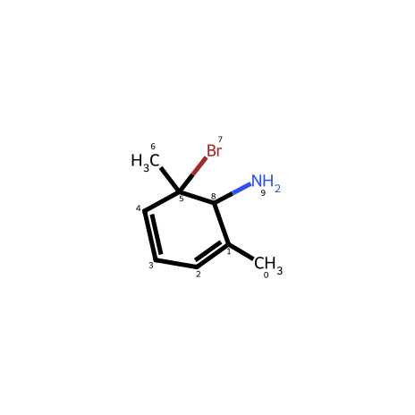 CC1=CC=CC(C)(Br)C1N